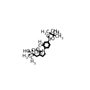 Cc1cc(B2OC(C)(C)C(C)(C)O2)ccc1N1CCC(CC(C)(C)[Si](C)(C)O)C1=O